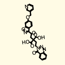 O=C(CC(CCn1nnc2ccccc2c1=O)(C(=O)O)C(=O)O)c1noc2cc(OCc3cccnc3)ccc12